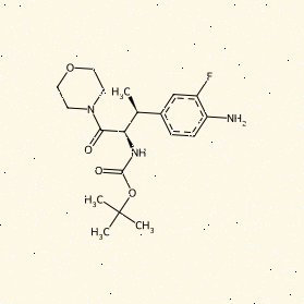 C[C@@H](c1ccc(N)c(F)c1)[C@@H](NC(=O)OC(C)(C)C)C(=O)N1CCOCC1